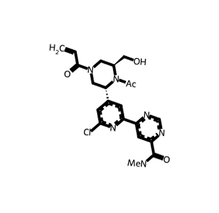 C=CC(=O)N1C[C@@H](CO)N(C(C)=O)[C@H](c2cc(Cl)nc(-c3cc(C(=O)NC)ncn3)c2)C1